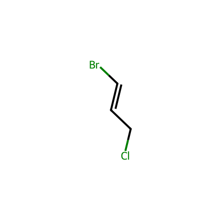 ClCC=CBr